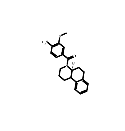 COc1cc(C(=O)N2CCCC3c4ccccc4CC[C@@H]32)ccc1N